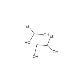 CCC(O)CO.CCC(O)O